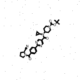 CC(C)(C)OC(=O)N1CCC(N(C(=O)c2cnc(-c3ccc(C(=O)N4CCCC4C#N)cc3)nc2)C2CC2)CC1